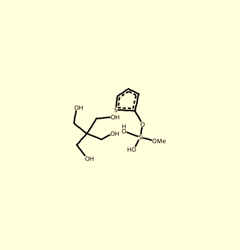 CO[Si](O)(O)Oc1cccs1.OCC(CO)(CO)CO